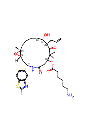 C=CC[C@H]1C(=O)C(C)(C)[C@@H](OC(=O)CCCCCN)CC(=O)N[C@H](c2ccc3sc(C)nc3c2)C[C@@H]2O[C@]2(C)CCC[C@H](C)[C@@H]1O